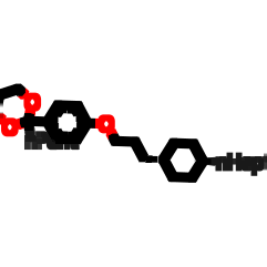 CCCCCCC[C@H]1CC[C@H](CCCOc2ccc(C3(CCCCC)OCCCO3)cc2)CC1